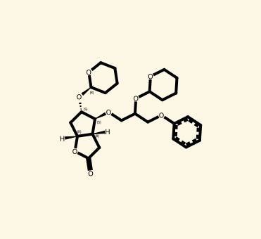 O=C1C[C@H]2[C@H](OCC(COc3ccccc3)OC3CCCCO3)[C@@H](O[C@@H]3CCCCO3)C[C@H]2O1